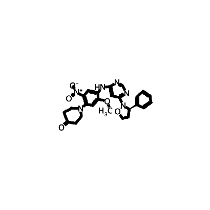 COc1cc(N2CCC(=O)CC2)c([N+](=O)[O-])cc1Nc1cc(N2OCC[C@@H]2c2ccccc2)ncn1